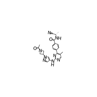 CC(=O)N1CC(n2cc(Nc3ncc(C)c(-c4ccc(C(=O)N[C@@H](C)C#N)cc4)n3)cn2)C1